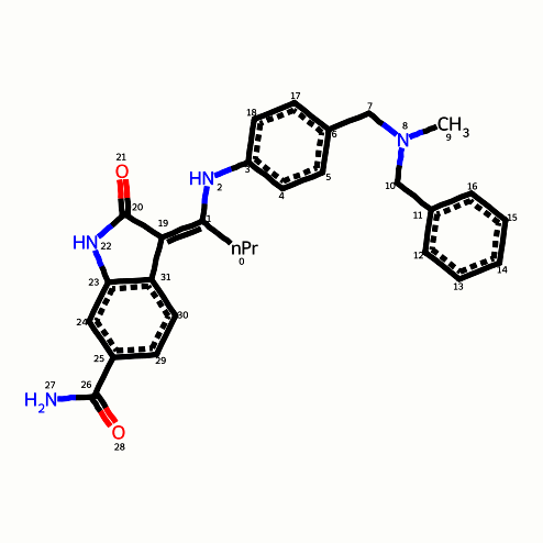 CCC/C(Nc1ccc(CN(C)Cc2ccccc2)cc1)=C1/C(=O)Nc2cc(C(N)=O)ccc21